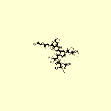 C=CCOC(=O)CNC(=O)C(O)C(CCC)NC(=O)C1CN(C(=O)OC(C)(C)C)CCN1C(=O)[C@@H](NC(=O)[C@@H](NC(C)=O)C(C)C)C(C)C